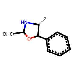 C[C@H]1NC(C=O)OC1c1ccccc1